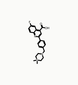 CS1(C)CCN(Cc2ccc(-c3cc(C(=O)O)c4cc(F)ccc4n3)cc2)CC1